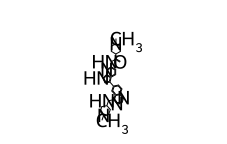 CN1CCC(Nc2ncnc3ccc(-c4c[nH]c5nc(NC(=O)C6CCN(C)CC6)ccc45)cc23)CC1